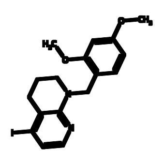 COc1ccc(CN2CCCc3c(I)ccnc32)c(OC)c1